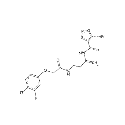 C=C(CCNC(=O)COc1ccc(Cl)c(F)c1)NC(=O)c1cnoc1C(C)C